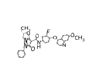 CC[C@H]1Cn2c(c(C(=O)Nc3ccc(Oc4ccnc5cc(OC)ccc45)c(F)c3)c(=O)n2-c2ccccc2)O1